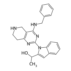 CC(O)c1cc2ccccc2n1-c1nc2c(c(NCc3ccccc3)n1)CNCC2